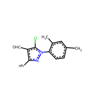 CCCc1nn(-c2ccc(C)cc2C)c(Cl)c1C=O